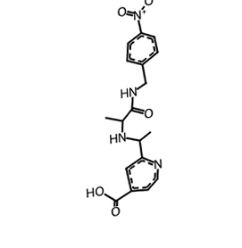 CC(NC(C)c1cc(C(=O)O)ccn1)C(=O)NCc1ccc([N+](=O)[O-])cc1